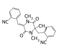 CN1C(=O)C(C)(Cc2ccccc2C#N)N(C)C(=O)C1=Cc1ccccc1C#N